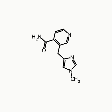 Cn1cnc(Cc2cnccc2C(N)=O)c1